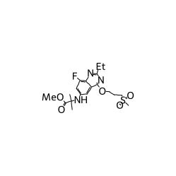 CCc1nc(OCCCS(C)(=O)=O)c2cc(NC(C)(C)C(=O)OC)cc(F)c2n1